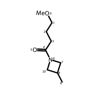 COCCCC(=O)N1CC(C)C1